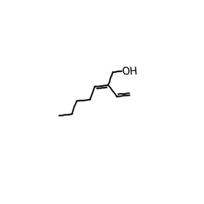 C=C/C(=C\CCCC)CO